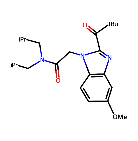 COc1ccc2c(c1)nc(C(=O)C(C)(C)C)n2CC(=O)N(CC(C)C)CC(C)C